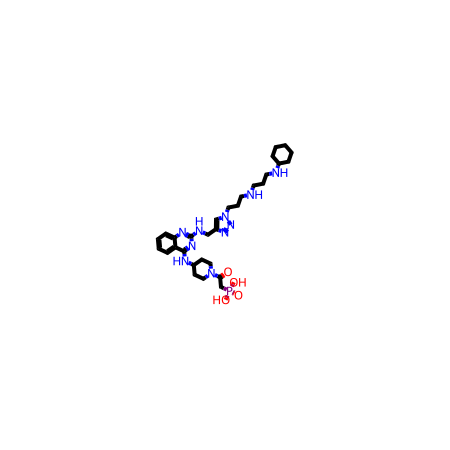 O=C(CP(=O)(O)O)N1CCC(Nc2nc(NCc3cn(CCCNCCCNC4CCCCC4)nn3)nc3ccccc23)CC1